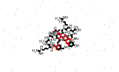 CCCC[C@H](NC(=O)[C@H](C)NC(=O)[C@H](CCCNC(=N)N)NC(=O)c1ccc(CN)cc1)C(=O)N[C@H](C(=O)N[C@@H](CC(N)=O)C(=O)N[C@@H](CC(C)C)C(=O)N[C@H](C(=O)N[C@H](C(=O)N[C@@H](CCCNC(=N)N)C(=O)N[C@@H](CCC(N)=O)C(=O)N[C@@H](CCCNC(=N)N)C(=O)N[C@@H](Cc1ccc(O)cc1)C(N)=O)[C@@H](C)O)[C@@H](C)CC)[C@@H](C)CC